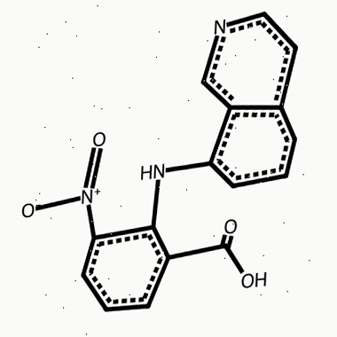 O=C(O)c1cccc([N+](=O)[O-])c1Nc1cccc2ccncc12